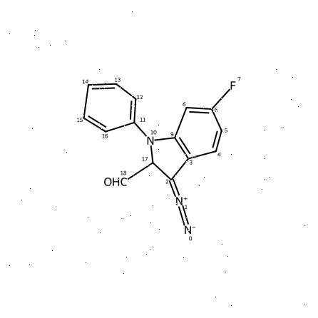 [N-]=[N+]=C1c2ccc(F)cc2N(c2ccccc2)C1C=O